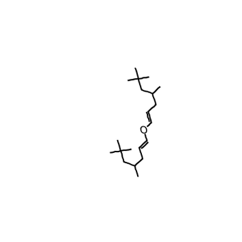 CC(CC=COC=CCC(C)CC(C)(C)C)CC(C)(C)C